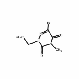 CCCCCCCn1nc(Br)c(=O)n(C)c1=O